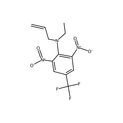 C=CCN(CC)c1c([N+](=O)[O-])cc(C(F)(F)F)cc1[N+](=O)[O-]